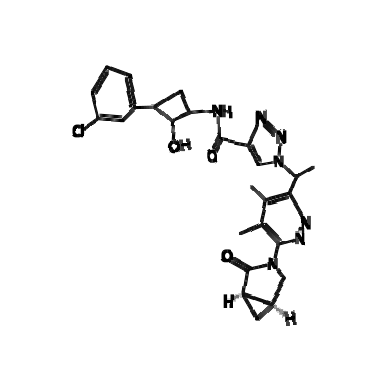 Cc1c(C(C)n2cc(C(=O)NC3CC(c4cccc(Cl)c4)C3O)nn2)nnc(N2C[C@H]3C[C@H]3C2=O)c1C